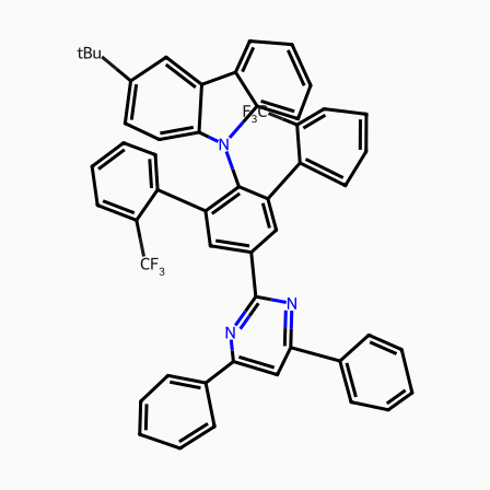 CC(C)(C)c1ccc2c(c1)c1ccccc1n2-c1c(-c2ccccc2C(F)(F)F)cc(-c2nc(-c3ccccc3)cc(-c3ccccc3)n2)cc1-c1ccccc1C(F)(F)F